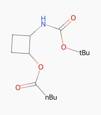 CCCCC(=O)OC1CCC1NC(=O)OC(C)(C)C